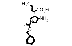 C=CCC(C(=O)OCC)[C@H]1CN(C(=O)OCc2ccccc2)C[C@@H]1N